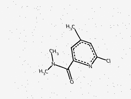 Cc1cc(Cl)nc(C(=O)N(C)C)c1